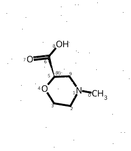 CN1CCO[C@@H](C(=O)O)C1